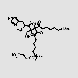 CCCCCCCCCCCCCCCC(=O)C(O)(C(=O)CCCCCCCCCCCCCCC)C(O)(CO)C(=O)[C@@H](N)Cc1c[nH]cn1.O=C(O)CCC(=O)O